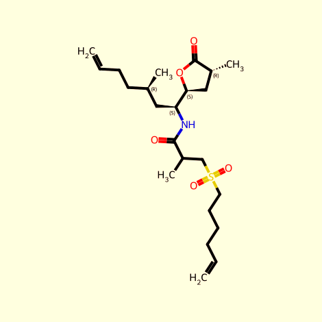 C=CCCCCS(=O)(=O)CC(C)C(=O)N[C@@H](C[C@H](C)CCC=C)[C@@H]1C[C@@H](C)C(=O)O1